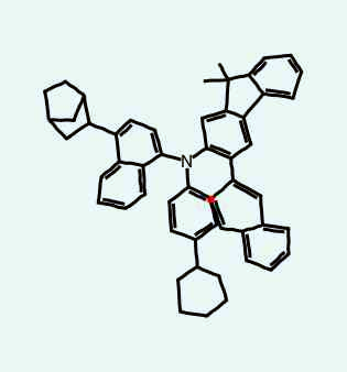 CC1(C)c2ccccc2-c2cc(-c3ccc4ccccc4c3)c(N(c3ccc(C4CCCCC4)cc3)c3ccc(C4CC5CCC4C5)c4ccccc34)cc21